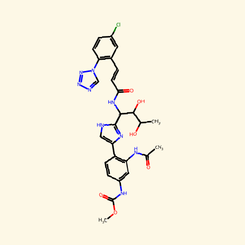 COC(=O)Nc1ccc(-c2c[nH]c(C(NC(=O)/C=C/c3cc(Cl)ccc3-n3cnnn3)C(O)C(C)O)n2)c(NC(C)=O)c1